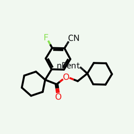 CCCCCC1(COC(=O)C2(c3ccc(C#N)c(F)c3)CCCCC2)CCCCC1